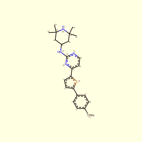 COc1ccc(-c2ccc(-c3ccnc(NC4CC(C)(C)NC(C)(C)C4)n3)s2)cc1